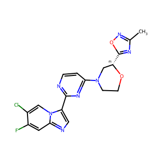 Cc1noc([C@H]2CN(c3ccnc(-c4cnc5cc(F)c(Cl)cn45)n3)CCO2)n1